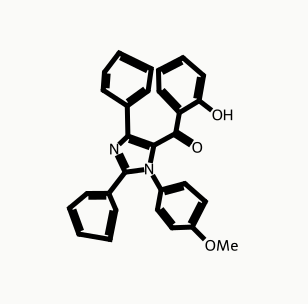 COc1ccc(-n2c(-c3ccccc3)nc(-c3ccccc3)c2C(=O)c2ccccc2O)cc1